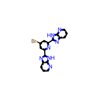 Brc1cc(-c2nc3cccnc3[nH]2)nc(-c2nc3cccnc3[nH]2)c1